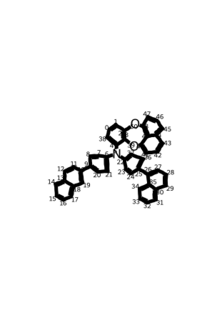 c1cc2c(c(N(c3ccc(-c4ccc5ccccc5c4)cc3)c3ccc(-c4cccc5ccccc45)cc3)c1)Oc1cccc3cccc(c13)O2